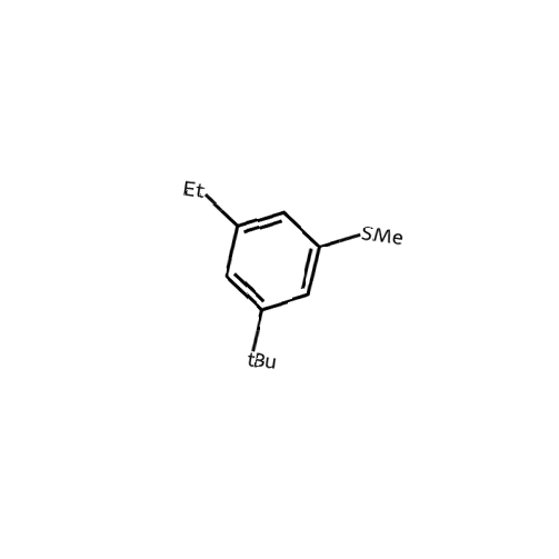 CCc1cc(SC)cc(C(C)(C)C)c1